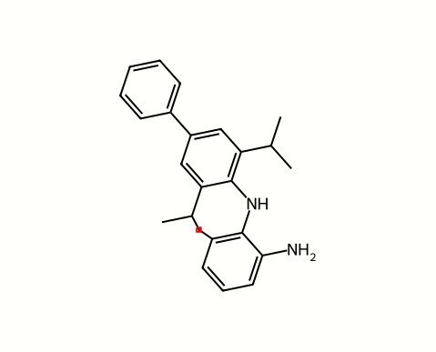 Cc1cccc(N)c1Nc1c(C(C)C)cc(-c2ccccc2)cc1C(C)C